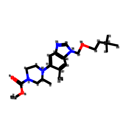 CC1CN(C(=O)OC(C)(C)C)CCN1c1cc2ncn(COCC[Si](C)(C)C)c2cc1C#N